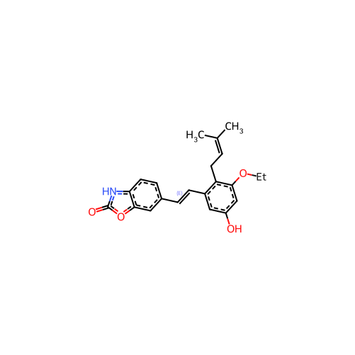 CCOc1cc(O)cc(/C=C/c2ccc3[nH]c(=O)oc3c2)c1CC=C(C)C